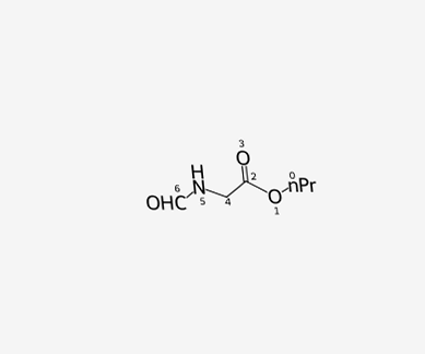 CCCOC(=O)CNC=O